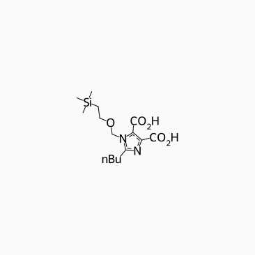 CCCCc1nc(C(=O)O)c(C(=O)O)n1COCC[Si](C)(C)C